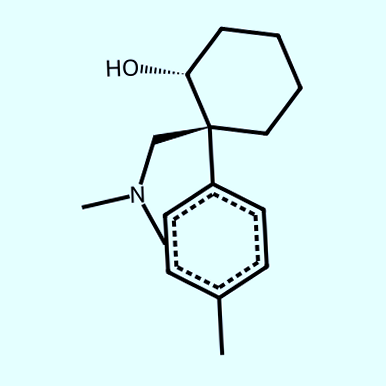 Cc1ccc([C@@]2(CN(C)C)CCCC[C@H]2O)cc1